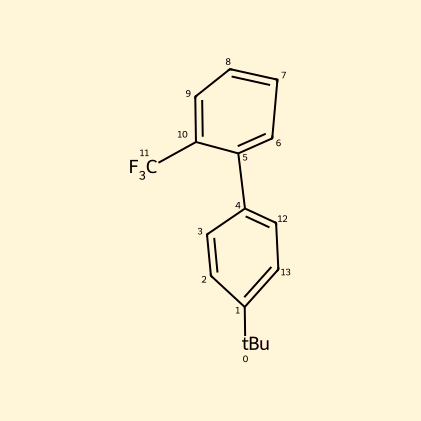 CC(C)(C)c1ccc(-c2ccccc2C(F)(F)F)cc1